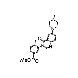 COC(=O)c1ccc(C)c(-n2cnc3ccc(N4CCN(C)CC4)cc3c2=O)c1